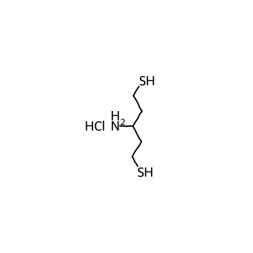 Cl.NC(CCS)CCS